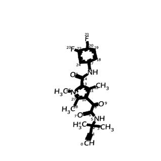 C#CC(C)(C)NC(=O)C(=O)c1c(C)c(C(=O)Nc2ccc(F)c(F)c2)n(C)c1C